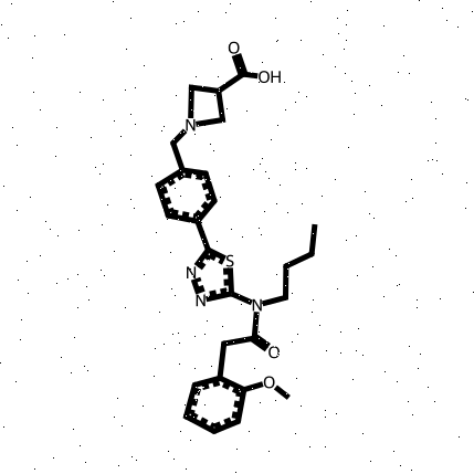 CCCCN(C(=O)Cc1ccccc1OC)c1nnc(-c2ccc(CN3CC(C(=O)O)C3)cc2)s1